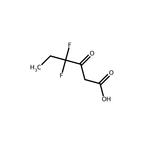 CCC(F)(F)C(=O)CC(=O)O